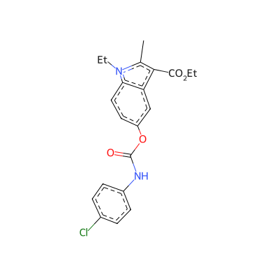 CCOC(=O)c1c(C)n(CC)c2ccc(OC(=O)Nc3ccc(Cl)cc3)cc12